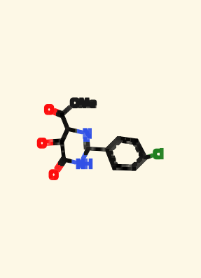 COC(=O)C1N=C(c2ccc(Cl)cc2)NC(=O)C1=O